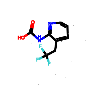 O=C(O)Nc1ncccc1CC(F)(F)F